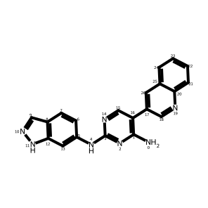 Nc1nc(Nc2ccc3cn[nH]c3c2)ncc1-c1cnc2ccccc2c1